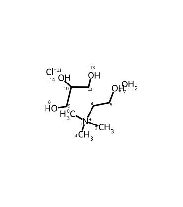 C[N+](C)(C)CCO.O.OCC(O)CO.[Cl-]